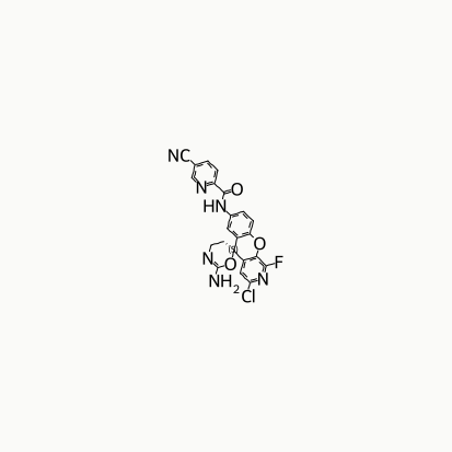 N#Cc1ccc(C(=O)Nc2ccc3c(c2)[C@@]2(CCN=C(N)O2)c2cc(Cl)nc(F)c2O3)nc1